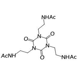 CC(=O)NCCn1c(=O)n(CCNC(C)=O)c(=O)n(CCNC(C)=O)c1=O